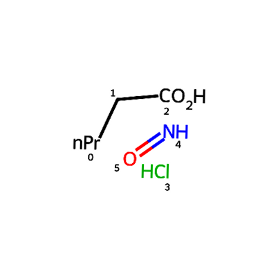 CCCCC(=O)O.Cl.N=O